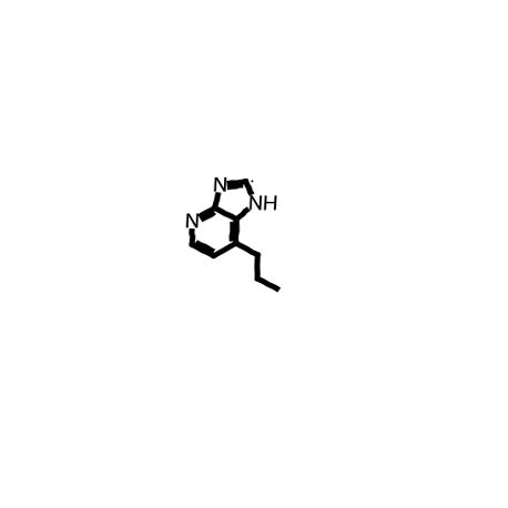 CCCc1ccnc2n[c][nH]c12